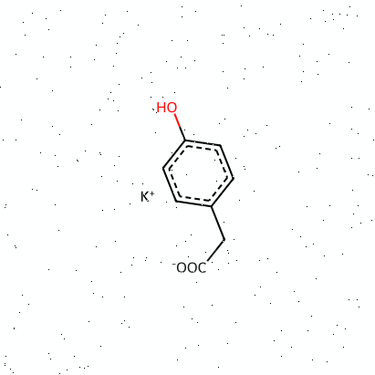 O=C([O-])Cc1ccc(O)cc1.[K+]